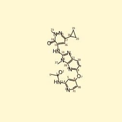 CC(=O)Nc1cc(Oc2ccc3nc(Nc4cc(C5CC5)nn(C)c4=O)n(C)c3n2)ccn1